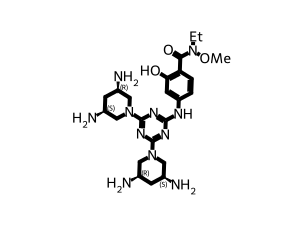 CCN(OC)C(=O)c1ccc(Nc2nc(N3C[C@H](N)C[C@H](N)C3)nc(N3C[C@H](N)C[C@H](N)C3)n2)cc1O